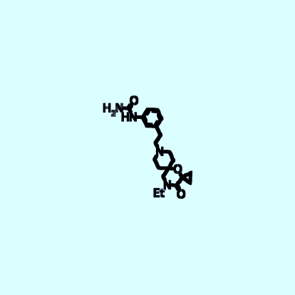 CCN1CC2(CCN(CCc3cccc(NC(N)=O)c3)CC2)OC2(CC2)C1=O